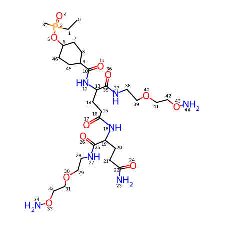 CCP(C)(=O)OC1CCC(C(=O)NC(CCC(=O)NC(CCC(N)=O)C(=O)NCCOCCON)C(=O)NCCOCCON)CC1